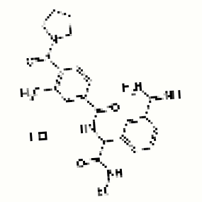 CCNC(=O)C(NC(=O)c1ccc(C(=O)N2CCCC2)c(C)c1)c1cccc(C(=N)N)c1.Cl